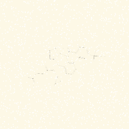 O=C(O)CCC(=O)N(C1CC1)[C@H]1c2ccccc2N(C(=O)c2ccc(C(F)(F)F)nc2)[C@@H]2CCC[C@@H]21